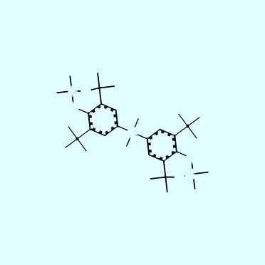 CC(C)(C)c1cc([Si](C)(C)c2cc(C(C)(C)C)c(O[Si](C)(C)C)c(C(C)(C)C)c2)cc(C(C)(C)C)c1O[Si](C)(C)C